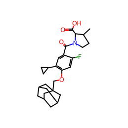 CC1CCN(C(=O)c2cc(C3CC3)c(OCC34CC5CC(CC(C5)C3)C4)cc2F)C1C(=O)O